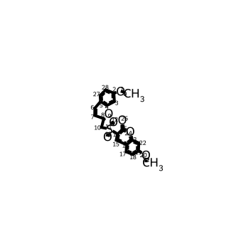 COc1ccc(/C=C\C(=O)CS(=O)(=O)c2cc3ccc(OC)cc3oc2=O)cc1